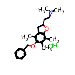 Cc1c(C)c2c(c(C)c1OCc1ccccc1)C[C@@H](CCN(C)C)O2.Cl